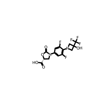 O=C(O)[C@H]1CN(c2cc(F)c(N3CC(O)(C(F)(F)F)C3)c(F)c2)C(=O)O1